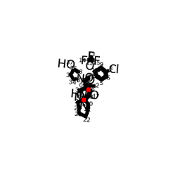 CC(C)(Oc1ccc(Cl)cc1OC(F)(F)F)C(=O)NC1CC2CCC(C1)N2c1ccc(C(=O)N2CCC(O)C2)cn1